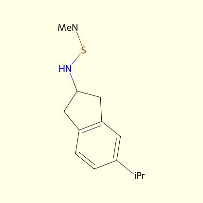 CNSNC1Cc2ccc(C(C)C)cc2C1